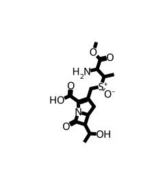 COC(=O)C(N)C(C)[S+]([O-])CC1=C(C(=O)O)N2C(=O)C(C(C)O)C2C1